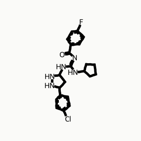 O=C(/N=C(/NC1CCCC1)NC1CC(c2ccc(Cl)cc2)NN1)c1ccc(F)cc1